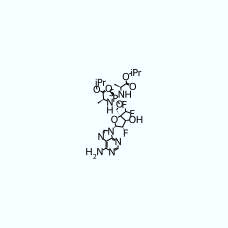 CC(C)OC(=O)[C@H](C)NP(=S)(N[C@@H](C)C(=O)OC(C)C)OC[C@@]1(C(F)F)O[C@@H](n2cnc3c(N)ncnc32)[C@@H](F)[C@@H]1O